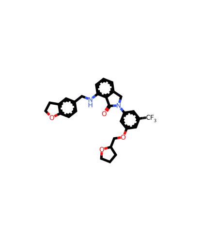 O=C1c2c(cccc2NCc2ccc3c(c2)CCO3)CN1c1cc(OCC2CCCO2)cc(C(F)(F)F)c1